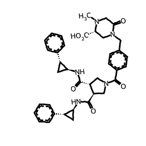 CN1CC(=O)N(Cc2ccc(C(=O)N3C[C@@H](C(=O)N[C@H]4C[C@@H]4c4ccccc4)[C@H](C(=O)N[C@H]4C[C@@H]4c4ccccc4)C3)cc2)C[C@@H]1C(=O)O